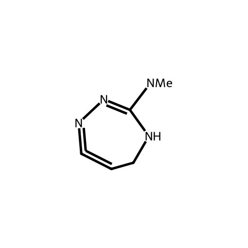 CNC1=NN=C=CCN1